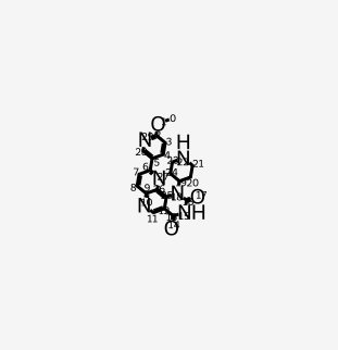 COc1ccc(-c2ccc3ncc4c(=O)[nH]c(=O)n(C5CCNCC5)c4c3n2)cn1